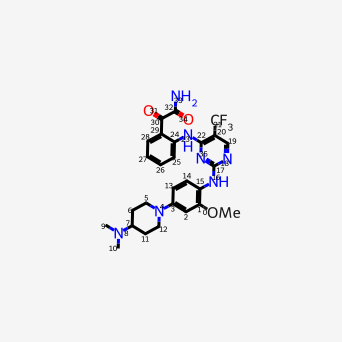 COc1cc(N2CCC(N(C)C)CC2)ccc1Nc1ncc(C(F)(F)F)c(Nc2ccccc2C(=O)C(N)=O)n1